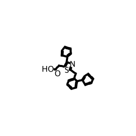 O=C(O)Cc1sc(Cc2ccccc2-c2ccccc2)nc1-c1ccccc1